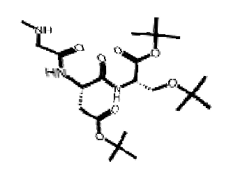 CNCC(=O)N[C@@H](CC(=O)OC(C)(C)C)C(=O)N[C@@H](COC(C)(C)C)C(=O)OC(C)(C)C